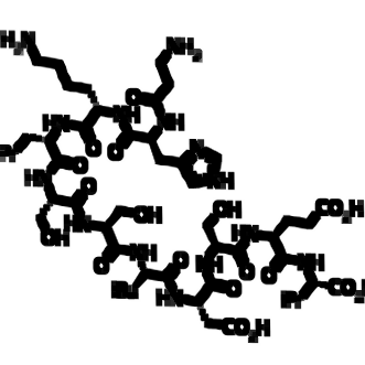 CC[C@H](C)[C@H](NC(=O)[C@H](CO)NC(=O)[C@H](CO)NC(=O)[C@H](CC(C)C)NC(=O)[C@H](CCCCN)NC(=O)[C@H](Cc1c[nH]cn1)NC(=O)CCN)C(=O)N[C@@H](CC(=O)O)C(=O)N[C@@H](CO)C(=O)N[C@@H](CCC(=O)O)C(=O)N[C@H](C(=O)O)C(C)C